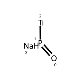 O=[P][Ti].[NaH]